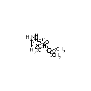 CCOc1cc(CN(CC(OC)OC)[C@@H](CCCNC(=N)N)C(=O)O)ccc1OC